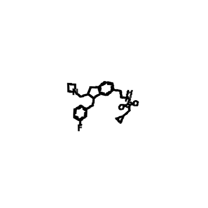 O=S(=O)(CC1CC1)NCCc1ccc2c(c1)C(Cc1cccc(F)c1)C(CN1CCC1)C2